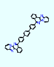 c1ccc2c(c1)c(-c1ccc(-c3ccc(-c4ccc(-c5nc6c(nc7ccccn76)c6ccccc56)cc4)cc3)cc1)nc1c2nc2ccccn21